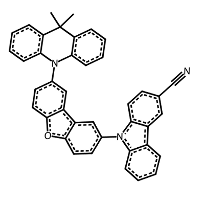 CC1(C)c2ccccc2N(c2ccc3oc4ccc(-n5c6ccccc6c6cc(C#N)ccc65)cc4c3c2)c2ccccc21